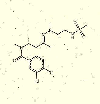 C/C(C[C@@H](C)N(C)C(=O)c1ccc(Cl)c(Cl)c1)=N\N(C)CCNS(C)(=O)=O